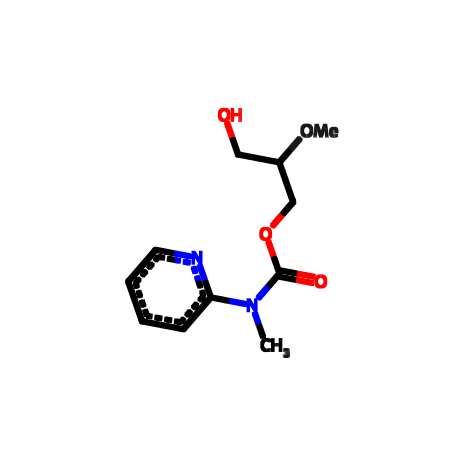 COC(CO)COC(=O)N(C)c1ccccn1